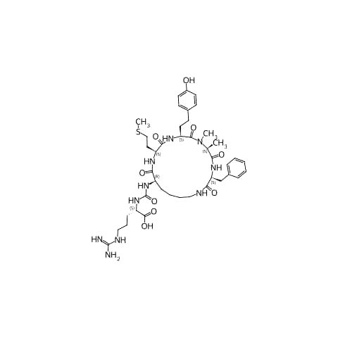 CSCC[C@@H]1NC(=O)[C@H](NC(=O)N[C@@H](CCCNC(=N)N)C(=O)O)CCCCNC(=O)[C@H](Cc2ccccc2)NC(=O)[C@H](C)N(C)C(=O)[C@H](CCc2ccc(O)cc2)NC1=O